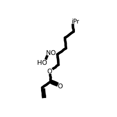 C=CC(=O)OCCCCCC(C)C.O=[N+]([O-])O